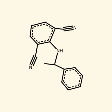 CC(Nc1c(C#N)cccc1C#N)c1ccccc1